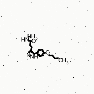 CCCCCOc1ccc(-c2[nH]ncc2CCC(=O)NN)cc1